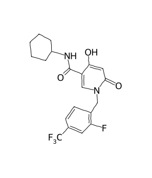 O=C(NC1CCCCC1)c1cn(Cc2ccc(C(F)(F)F)cc2F)c(=O)cc1O